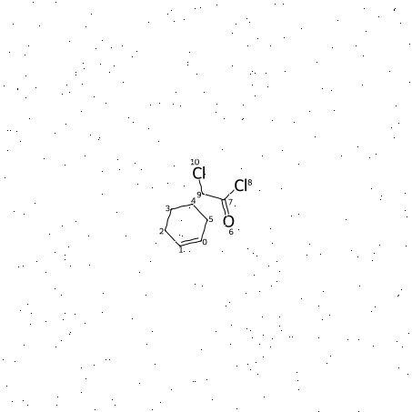 C1=CCCCC1.O=C(Cl)CCl